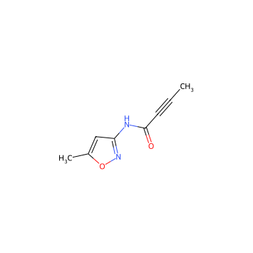 CC#CC(=O)Nc1cc(C)on1